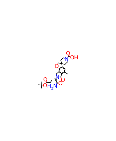 Cc1cc2c(c3c1C(=O)N([C@@H](CCC(=O)OC(C)(C)C)C(N)=O)C3)OCC21CCN(C(=O)O)CC1